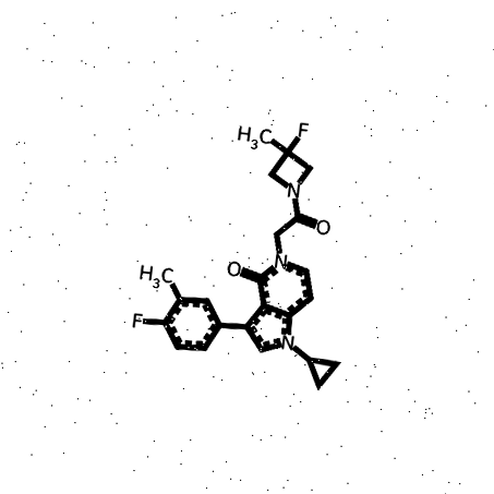 Cc1cc(-c2cn(C3CC3)c3ccn(CC(=O)N4CC(C)(F)C4)c(=O)c23)ccc1F